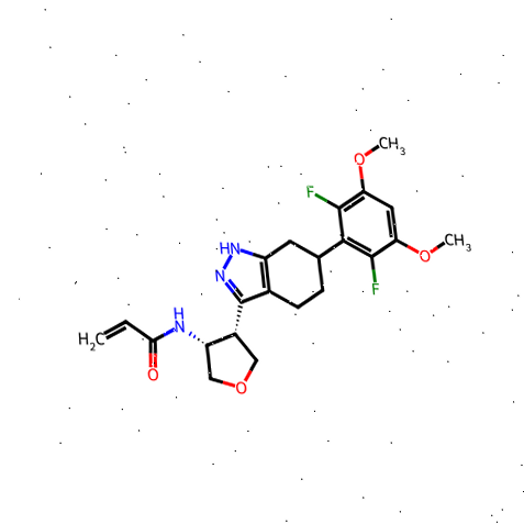 C=CC(=O)N[C@H]1COC[C@H]1c1n[nH]c2c1CCC(c1c(F)c(OC)cc(OC)c1F)C2